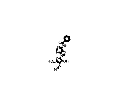 [N-]=[N+]=NC1C(O)[C@H](n2cnc3c(NC(=O)c4ccccc4)ncnc32)O[C@@H]1CO